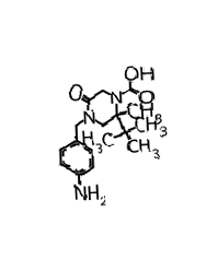 CC(C)(C)C1(C)CN(Cc2ccc(N)cc2)C(=O)CN1C(=O)O